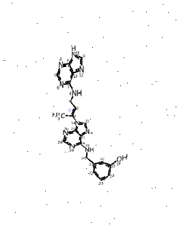 C/C(=C\CNc1ncnc2[nH]cnc12)n1cnc2c(NCc3cccc(O)c3)ncnc21